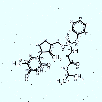 C=C1C(COP(=O)(NCC(=O)OC(C)C)Oc2ccccc2)CCC1n1cc(C)c(=O)[nH]c1=O